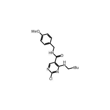 COc1ccc(CNC(=O)c2cnc(Cl)nc2NCC(C)(C)C)cc1